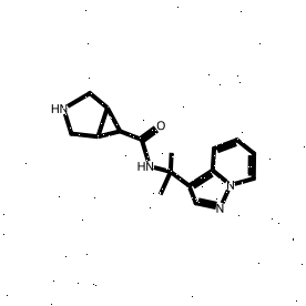 CC(C)(NC(=O)C1C2CNCC21)c1cnn2ccccc12